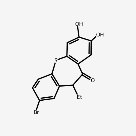 CCC1C(=O)c2cc(O)c(O)cc2Sc2ccc(Br)cc21